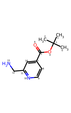 CC(C)(C)OC(=O)c1ccnc(CN)c1